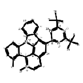 Cc1cccc2c1c1c3c(cc[n+]1C)cc(-c1nc(C(C)(C)C)nc(C(C)(C)C)n1)c1c4ccccc4n2c13